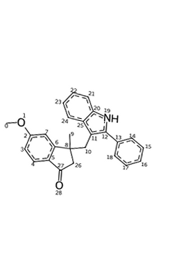 COc1ccc2c(c1)C(C)(Cc1c(-c3ccccc3)[nH]c3ccccc13)CC2=O